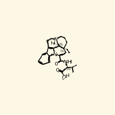 CC[C@@]12C=C(C(=O)N[C@H](C(=O)O)C(C)C)n3c4c(c5ccccc53)CCN(CCC1)[C@H]42